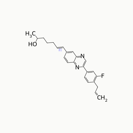 C=CCc1ccc(-c2cnc3cc(/C=C/CCCC(C)O)ccc3n2)cc1F